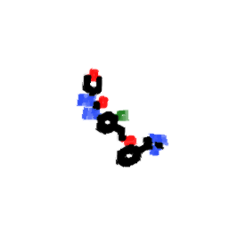 O=C(Nc1ccc(CCOc2ccccc2-c2c[nH]cn2)c(Cl)c1)NC1CCOCC1